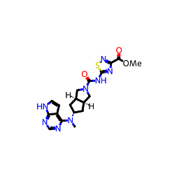 COC(=O)c1nsc(NC(=O)N2C[C@H]3C[C@H](N(C)c4ncnc5[nH]ccc45)C[C@H]3C2)n1